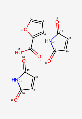 O=C(O)c1ccco1.O=C1C=CC(=O)N1.O=C1C=CC(=O)N1